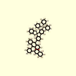 c1ccc([Si](c2ccccc2)(c2ccccc2)c2ccc3c(c2)C2(Cc4ccccc4C2)c2cc(-c4c5ccccc5c(-c5ccccc5-c5ccc6ccccc6c5)c5ccccc45)ccc2-3)cc1